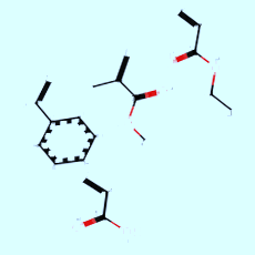 C=C(C)C(=O)OC.C=CC(=O)O.C=CC(=O)OCC.C=Cc1ccccc1